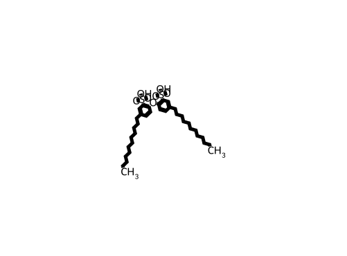 CCCCCCCCCCCCc1ccc(Oc2ccc(CCCCCCCCCCCC)cc2S(=O)(=O)O)c(S(=O)(=O)O)c1